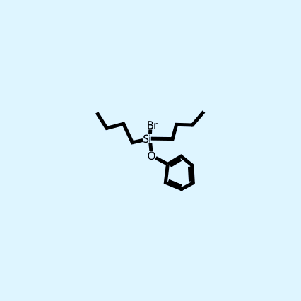 CCCC[Si](Br)(CCCC)Oc1ccccc1